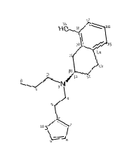 CCCN(CCc1cccs1)[C@@H]1CCc2cccc(O)c2C1